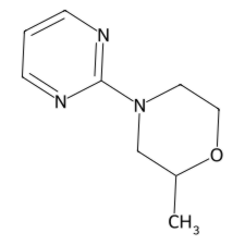 CC1CN(c2ncccn2)CCO1